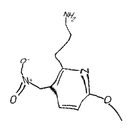 COc1ccc([N+](=O)[O-])c(CCN)n1